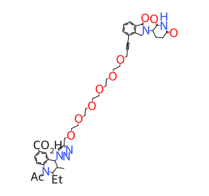 CCC1C(C)[C@H](n2cc(COCCOCCOCCOCCOCCOCC#Cc3cccc4c3CN(C3CCC(=O)NC3=O)C4=O)nn2)c2cc(C(=O)O)ccc2N1C(C)=O